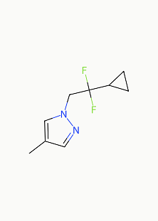 Cc1cnn(CC(F)(F)C2CC2)c1